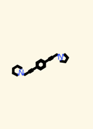 C(#Cc1ccc(C#CCN2CCCC2)cc1)CN1CCCCC1